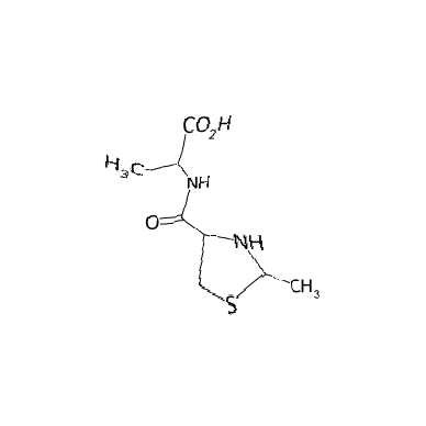 CC1NC(C(=O)NC(C)C(=O)O)CS1